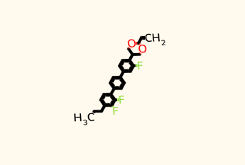 C=CC1OCC(c2ccc(-c3ccc(-c4ccc(CCC)c(F)c4F)cc3)cc2F)CO1